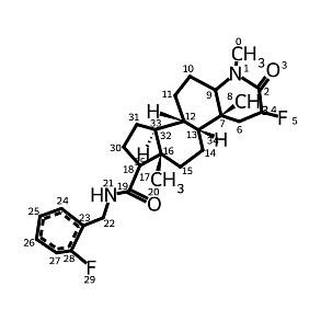 CN1C(=O)C(F)C[C@@]2(C)C1CC[C@@H]1[C@H]2CC[C@]2(C)C(C(=O)NCc3ccccc3F)CC[C@@H]12